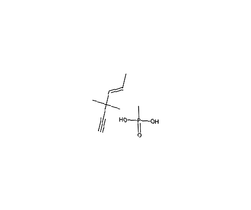 C#CC(C)(C)C=CC.CP(=O)(O)O